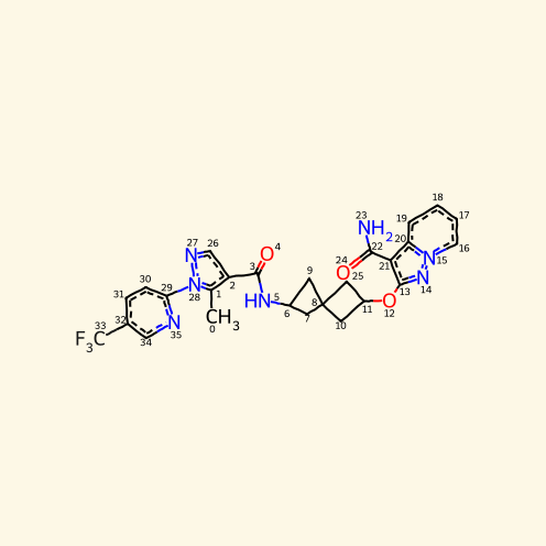 Cc1c(C(=O)NC2CC3(C2)CC(Oc2nn4ccccc4c2C(N)=O)C3)cnn1-c1ccc(C(F)(F)F)cn1